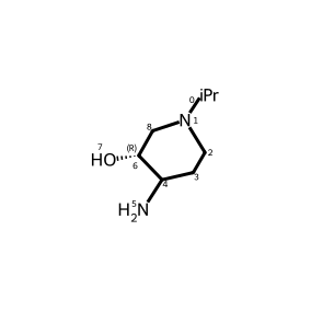 CC(C)N1CCC(N)[C@H](O)C1